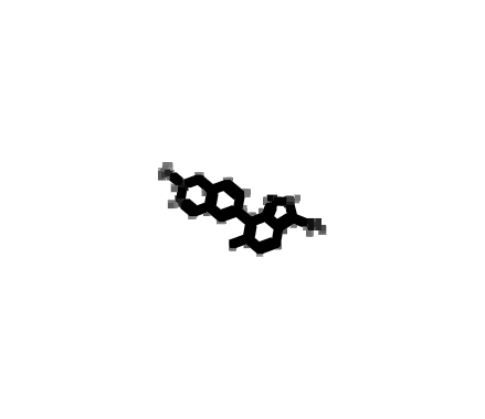 Cc1ccc2c(N)onc2c1-c1ccc2c(c1)C=NN(C(C)C)C2